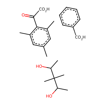 CC(O)C(C)(C)C(C)O.Cc1cc(C)c(C(=O)C(=O)O)c(C)c1.O=C(O)c1ccccc1